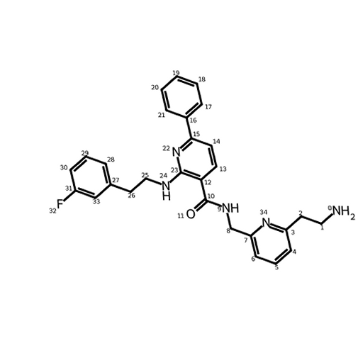 NCCc1cccc(CNC(=O)c2ccc(-c3ccccc3)nc2NCCc2cccc(F)c2)n1